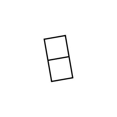 C1CC2CCC12